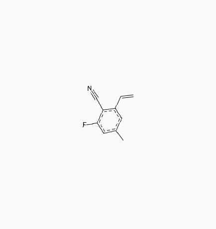 C=Cc1cc(C)cc(F)c1C#N